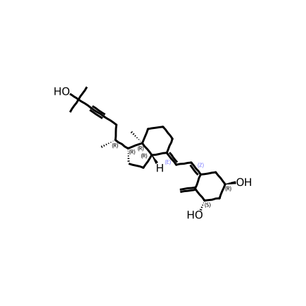 C=C1/C(=C\C=C2/CCC[C@]3(C)[C@@H]([C@H](C)CC#CC(C)(C)O)CC[C@@H]23)C[C@@H](O)C[C@@H]1O